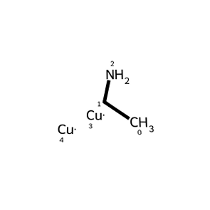 CCN.[Cu].[Cu]